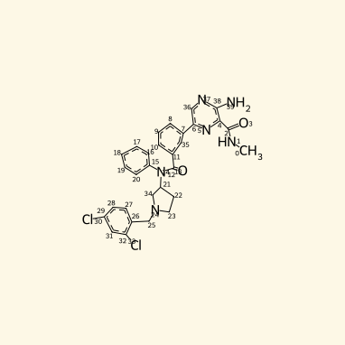 CNC(=O)c1nc(-c2cccc(C(=O)N(c3ccccc3)C3CCN(Cc4ccc(Cl)cc4Cl)C3)c2)cnc1N